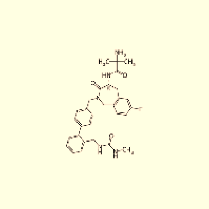 CNC(=O)NCc1ccccc1-c1ccc(CN2Cc3ccc(F)cc3C[C@@H](NC(=O)C(C)(C)N)C2=O)cc1